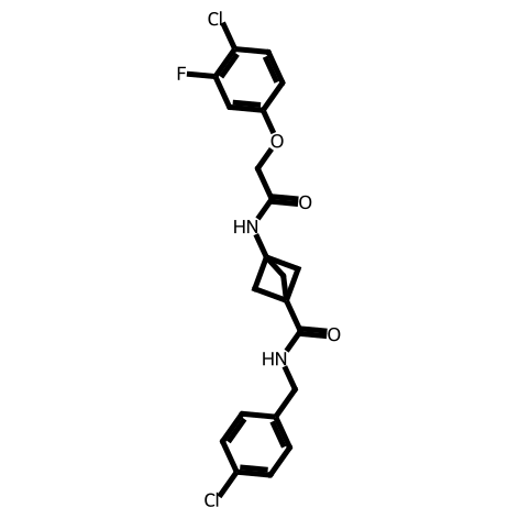 O=C(COc1ccc(Cl)c(F)c1)NC12CC(C(=O)NCc3ccc(Cl)cc3)(C1)C2